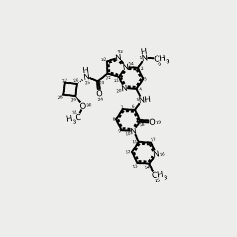 CNc1cc(Nc2cccn(-c3ccc(C)nc3)c2=O)nc2c(C(=O)N[C@H]3CC[C@@H]3OC)cnn12